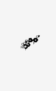 CCOc1ccc(F)c(-c2ccnc([C@H]3CCC4(CC(=O)N[C@@H](C)C4)N3C(=O)O)c2)c1